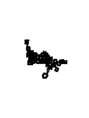 CCOP(=O)(OCC)[C@@](COC)(Cc1nnn(COCC[Si](C)(C)C)n1)OC[C@H]1O[C@@H](n2ncc3c(N(C(=O)OC(C)(C)C)C4CCC4)nc(/C=C/c4ccccc4)nc32)[C@@H]2OC(C)(C)O[C@@H]21